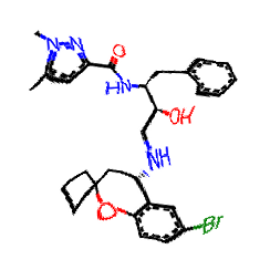 Cc1cc(C(=O)N[C@@H](Cc2ccccc2)[C@@H](O)CN[C@H]2CC3(CCC3)Oc3ccc(Br)cc32)nn1C